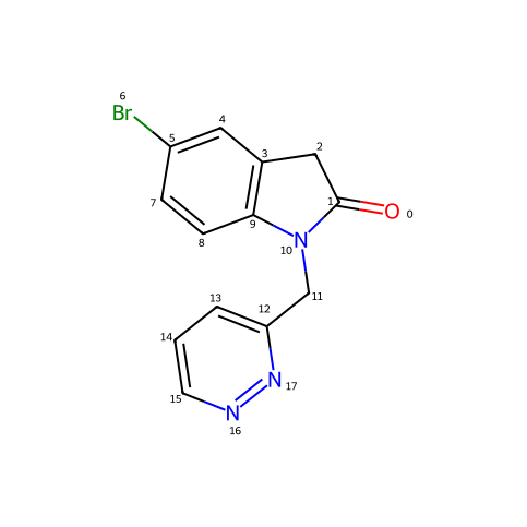 O=C1Cc2cc(Br)ccc2N1Cc1cccnn1